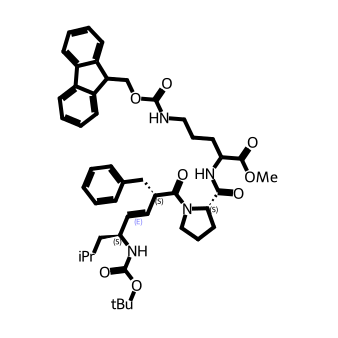 COC(=O)C(CCCNC(=O)OCC1c2ccccc2-c2ccccc21)NC(=O)[C@@H]1CCCN1C(=O)[C@H](/C=C/[C@H](CC(C)C)NC(=O)OC(C)(C)C)Cc1ccccc1